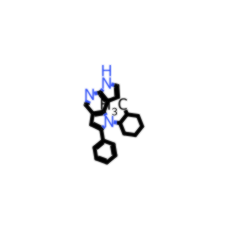 CC1CCCCC1n1c(-c2ccccc2)cc2cnc3[nH]ccc3c21